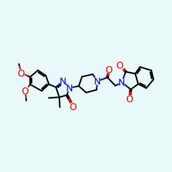 COc1ccc(C2=NN(C3CCN(C(=O)CN4C(=O)c5ccccc5C4=O)CC3)C(=O)C2(C)C)cc1OC